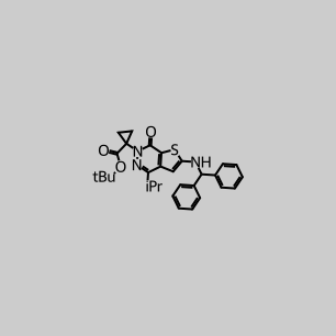 CC(C)c1nn(C2(C(=O)OC(C)(C)C)CC2)c(=O)c2sc(NC(c3ccccc3)c3ccccc3)cc12